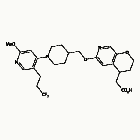 COc1cc(N2CCC(COc3cc4c(cn3)OCCC4CC(=O)O)CC2)c(CCC(F)(F)F)cn1